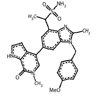 COc1ccc(Cn2c(C)nc3c(C(C)S(N)(=O)=O)cc(-c4cn(C)c(=O)c5[nH]ccc45)cc32)cc1